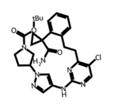 CC(C)(C)OC(=O)N1CCC(n2cc(Nc3ncc(Cl)c(CCc4ccccc4C4(C(N)=O)CC4)n3)cn2)C1